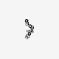 O=C(Cc1ccccn1)N1CCC2(CC1)CN(C(=O)Nc1ccc(OC(F)(F)F)cc1)CCO2